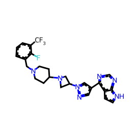 Fc1c(CN2CCC(N3C[C](n4cc(-c5ncnc6[nH]ccc56)cn4)C3)CC2)cccc1C(F)(F)F